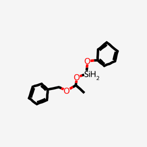 CC(OCc1ccccc1)O[SiH2]Oc1ccccc1